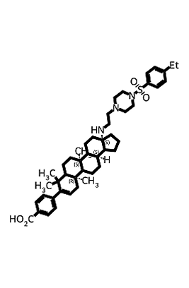 CCc1ccc(S(=O)(=O)N2CCN(CCN[C@]34CCCC3[C@H]3CCC5[C@@](C)(CCC6C(C)(C)C(c7ccc(C(=O)O)cc7)=CC[C@@]65C)C3CC4)CC2)cc1